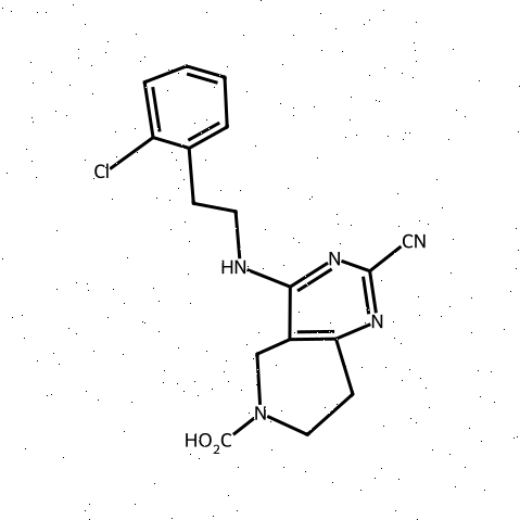 N#Cc1nc2c(c(NCCc3ccccc3Cl)n1)CN(C(=O)O)CC2